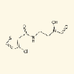 O=CN(O)CCNC(=O)c1sccc1Cl